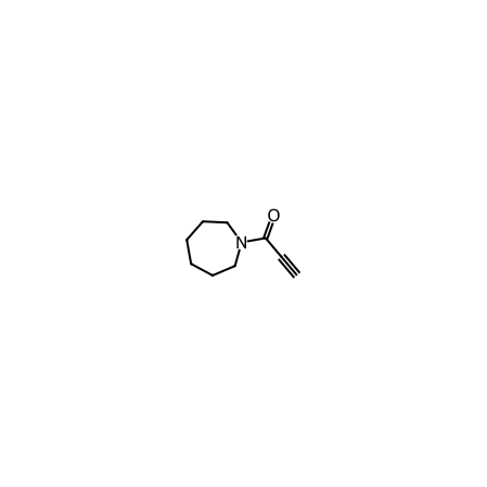 C#CC(=O)N1CCCCCC1